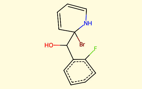 OC(c1ccccc1F)C1(Br)C=CC=CN1